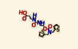 O=C(O)CCNC(=O)NCCOC(=O)N(Cc1cccs1)Cc1cccs1